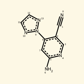 N#Cc1cnc(N)cc1-n1nccn1